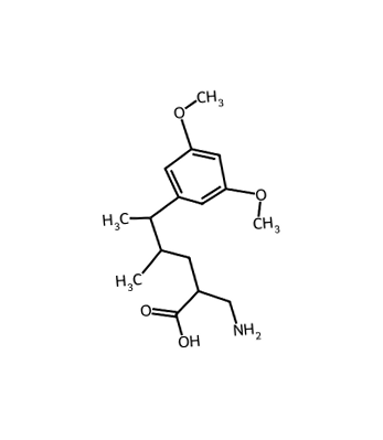 COc1cc(OC)cc(C(C)C(C)CC(CN)C(=O)O)c1